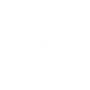 Cc1cccc(OC(C)(C)C(=O)Nc2ccc(C(C)CC(=O)O)cc2)c1